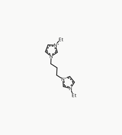 CCn1cc[n+](CCCn2cc[n+](CC)c2)c1